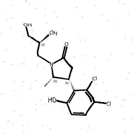 C[C@H]1[C@@H](c2c(O)ccc(Cl)c2Cl)CC(=O)N1C[C@H](O)CO